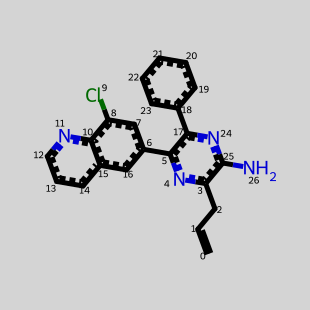 C=CCc1nc(-c2cc(Cl)c3ncccc3c2)c(-c2ccccc2)nc1N